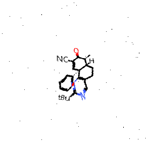 C[C@@H]1C(=O)C(C#N)=C[C@]2(c3ccccc3)c3nc(C(C)(C)C)ncc3CC[C@@H]12